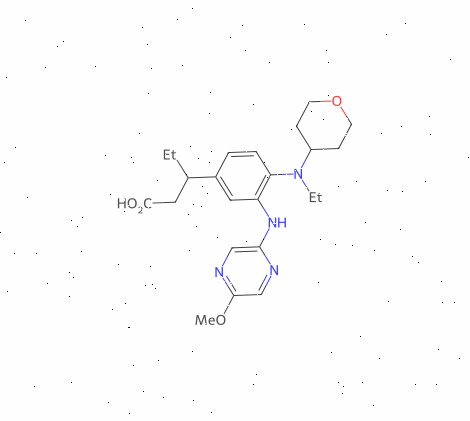 CCC(CC(=O)O)c1ccc(N(CC)C2CCOCC2)c(Nc2cnc(OC)cn2)c1